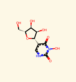 O=c1[nH]cc([C@@H]2O[C@H](CO)[C@@H](O)[C@H]2O)c(=O)n1O